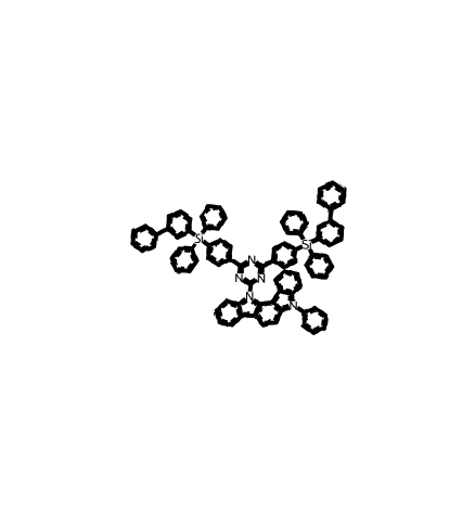 c1ccc(-c2cccc([Si](c3ccccc3)(c3ccccc3)c3ccc(-c4nc(-c5ccc([Si](c6ccccc6)(c6ccccc6)c6cccc(-c7ccccc7)c6)cc5)nc(-n5c6ccccc6c6ccc7c(c8ccccc8n7-c7ccccc7)c65)n4)cc3)c2)cc1